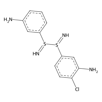 N=S(c1cccc(N)c1)S(=N)c1ccc(Cl)c(N)c1